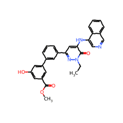 CCn1nc(-c2cccc(-c3cc(O)cc(C(=O)OC)c3)c2)cc(Nc2cncc3ccccc23)c1=O